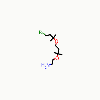 CC(C)(CCBr)OCCC(C)(C)OCCN